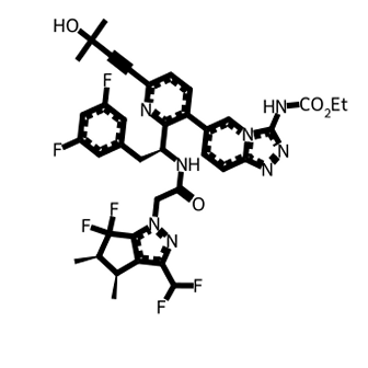 CCOC(=O)Nc1nnc2ccc(-c3ccc(C#CC(C)(C)O)nc3[C@H](Cc3cc(F)cc(F)c3)NC(=O)Cn3nc(C(F)F)c4c3C(F)(F)[C@H](C)[C@@H]4C)cn12